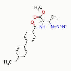 CCc1ccc(-c2ccc(C(=O)N[C@H](C(=O)OC)C(C)N=[N+]=[N-])cc2)cc1